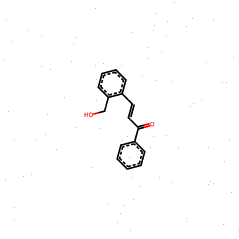 O=C(/C=C/c1ccccc1CO)c1ccccc1